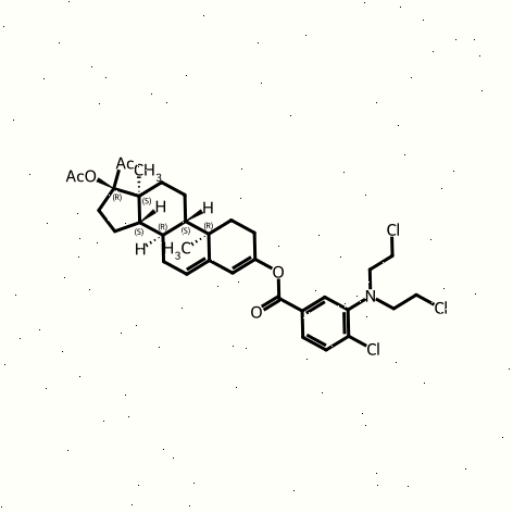 CC(=O)O[C@]1(C(C)=O)CC[C@H]2[C@@H]3CC=C4C=C(OC(=O)c5ccc(Cl)c(N(CCCl)CCCl)c5)CC[C@]4(C)[C@H]3CC[C@@]21C